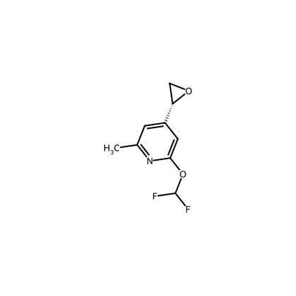 Cc1cc([C@@H]2CO2)cc(OC(F)F)n1